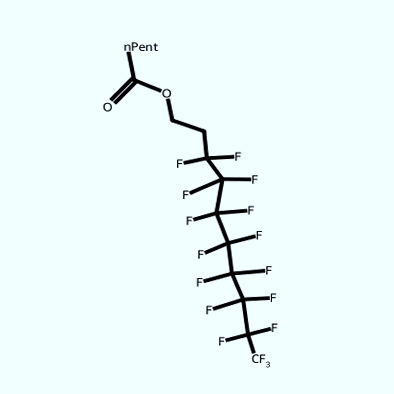 CCCCCC(=O)OCCC(F)(F)C(F)(F)C(F)(F)C(F)(F)C(F)(F)C(F)(F)C(F)(F)C(F)(F)F